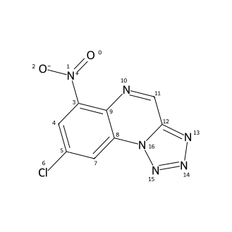 O=[N+]([O-])c1cc(Cl)cc2c1ncc1nnnn12